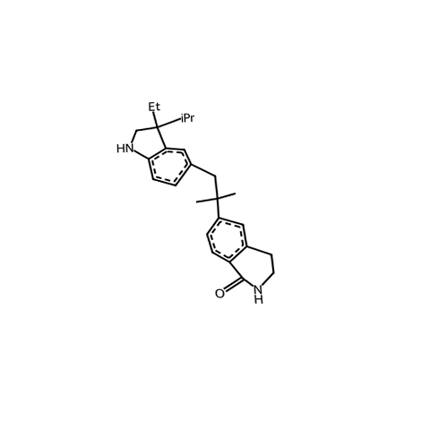 CCC1(C(C)C)CNc2ccc(CC(C)(C)c3ccc4c(c3)CCNC4=O)cc21